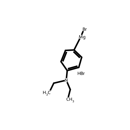 Br.CCN(CC)c1cc[c]([Mg][Br])cc1